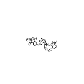 CCN(O)C(=O)c1ccc(Cc2cc3c(NN=Cc4c[nH]c5cccc(C)c45)ncnc3s2)cc1